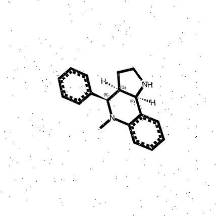 CN1c2ccccc2[C@@H]2NCC[C@@H]2[C@@H]1c1ccccc1